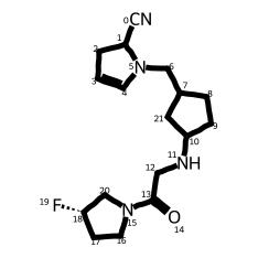 N#CC1CC=CN1CC1CCC(NCC(=O)N2CC[C@H](F)C2)C1